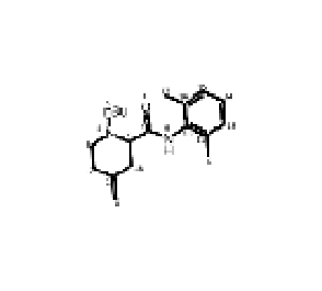 C=C1CCN(CCCC)C(C(=O)Nc2c(C)cccc2C)C1